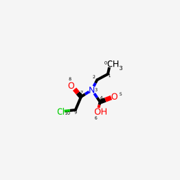 CCCN(C(=O)O)C(=O)CCl